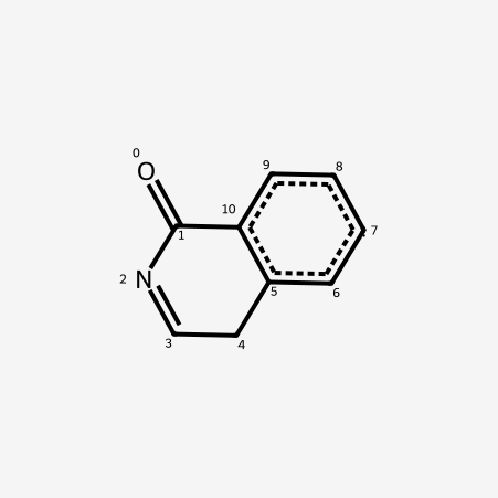 O=C1N=CCc2c[c]ccc21